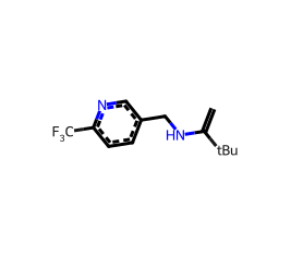 C=C(NCc1ccc(C(F)(F)F)nc1)C(C)(C)C